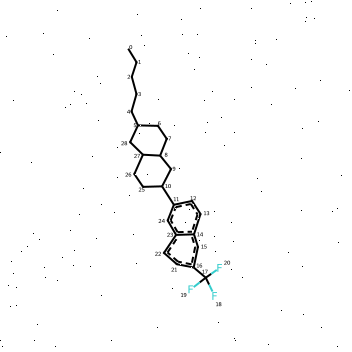 CCCCCC1CCC2CC(c3ccc4cc(C(F)(F)F)ccc4c3)CCC2C1